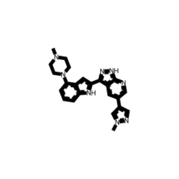 CN1CCN(c2cccc3[nH]c(-c4n[nH]c5ncc(-c6cnn(C)c6)cc45)cc23)CC1